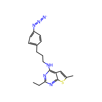 CCc1nc(NCCCc2ccc(N=[N+]=[N-])cc2)c2cc(C)sc2n1